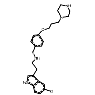 Clc1ccc2[nH]cc(CCNSc3ccc(OCCCN4CCNCC4)cc3)c2c1